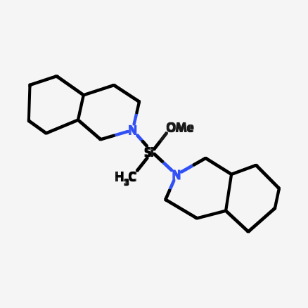 CO[Si](C)(N1CCC2CCCCC2C1)N1CCC2CCCCC2C1